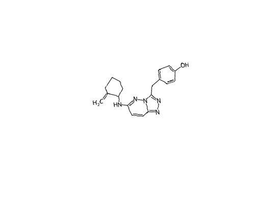 C=C1CCCCC1Nc1ccc2nnc(Cc3ccc(O)cc3)n2n1